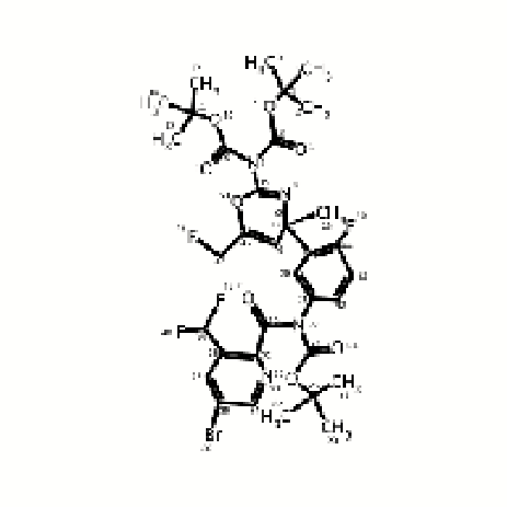 CC(C)(C)OC(=O)N(C(=O)OC(C)(C)C)C1=N[C@](C)(c2cc(N(C(=O)OC(C)(C)C)C(=O)c3ncc(Br)cc3C(F)F)ccc2F)C=C(CF)O1